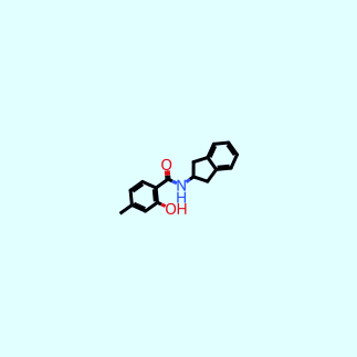 Cc1ccc(C(=O)NC2Cc3ccccc3C2)c(O)c1